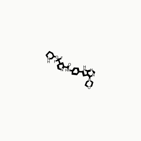 O=C(Nc1ccc(-c2cc3c(N4CCOCC4)ncnc3[nH]2)cc1)c1cc(C(F)(F)OC2CCCNC2)ccn1